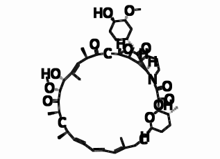 CO[C@@H]1C[C@H](CC2[C@@H]3CC(=O)[C@H](C)/C=C(\C)[C@@H](O)[C@@H](OC)C(=O)[C@H](C)C[C@H](C)/C=C/C=C/C=C(\C)CC[C@@H]4CC[C@@H](C)[C@@](O)(O4)C(=O)C(=O)N4CCC[C@H]2[C@H]4C(=O)O3)CC[C@H]1O